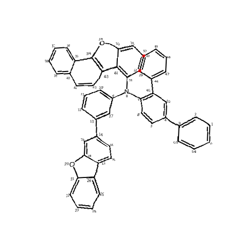 c1ccc(-c2ccc(N(c3cccc(-c4ccc5c(c4)oc4ccccc45)c3)c3cccc4oc5c6ccccc6ccc5c34)c(-c3ccccc3)c2)cc1